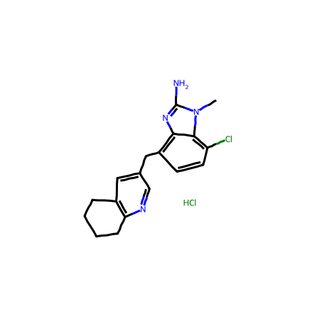 Cl.Cn1c(N)nc2c(Cc3cnc4c(c3)CCCC4)ccc(Cl)c21